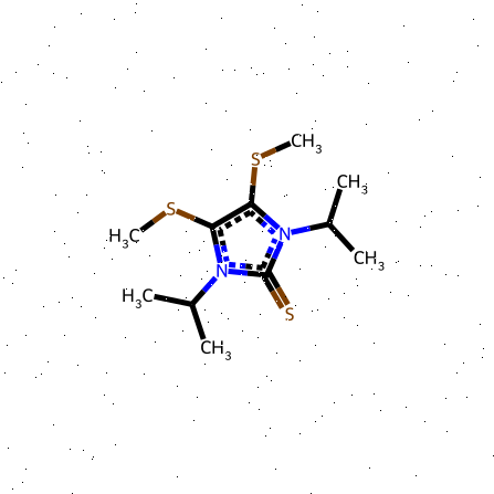 CSc1c(SC)n(C(C)C)c(=S)n1C(C)C